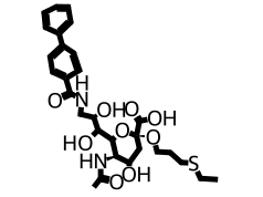 CCSCCCO[C@]1(C(=O)O)CC(O)[C@@H](NC(C)=O)C(C(O)[C@H](O)CNC(=O)c2ccc(-c3ccccc3)cc2)O1